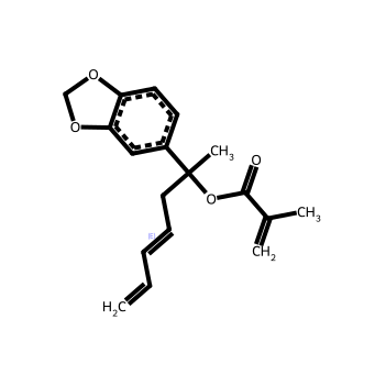 C=C/C=C/CC(C)(OC(=O)C(=C)C)c1ccc2c(c1)OCO2